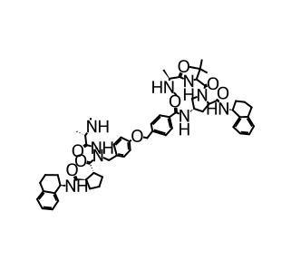 CN[C@@H](C)C(=O)NC(C(=O)N1C[C@@H](NC(=O)c2ccc(COc3ccc(CN(NC(=O)[C@H](C)NC)C(=O)[C@@H]4CCC[C@H]4C(=O)N[C@@H]4CCCc5ccccc54)cc3)cc2)CC1C(=O)N[C@@H]1CCCc2ccccc21)C(C)(C)C